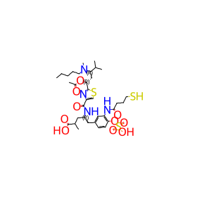 CCCCCN(C)[C@H](C[C@@H](OC(C)=O)c1nc(C(=O)N[C@@H](Cc2ccc(OS(=O)(=O)O)c(NC(=O)CCCS)c2)CC(C)C(=O)O)cs1)C(C)C